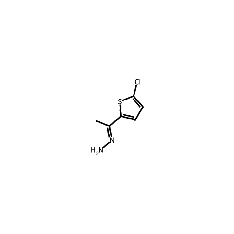 CC(=NN)c1ccc(Cl)s1